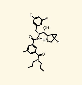 CCCN(CCC)C(=O)c1cc(C)cc(C(=O)N[C@@H](Cc2cc(F)cc(F)c2)[C@H](O)[C@@H]2NC[C@H]3CC32)c1